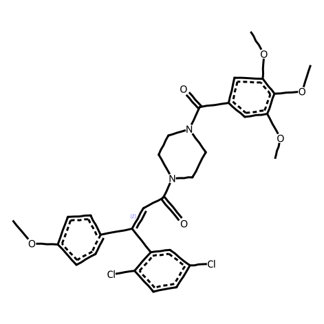 COc1ccc(/C(=C/C(=O)N2CCN(C(=O)c3cc(OC)c(OC)c(OC)c3)CC2)c2cc(Cl)ccc2Cl)cc1